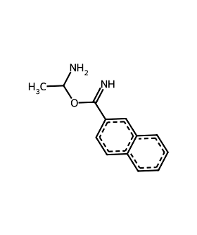 CC(N)OC(=N)c1ccc2ccccc2c1